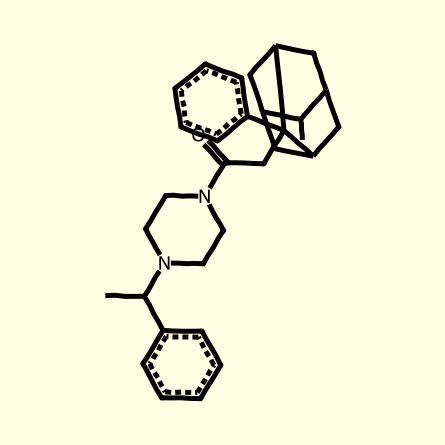 CC1C2CC3CC1CC(C2)C3(CC(=O)N1CCN(C(C)c2ccccc2)CC1)c1ccccc1